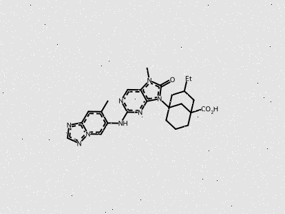 CCC1CC2(C(=O)O)CCCC(n3c(=O)n(C)c4cnc(Nc5cn6ncnc6cc5C)nc43)(C1)C2